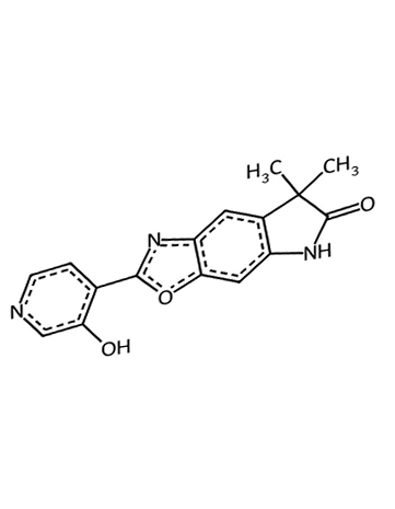 CC1(C)C(=O)Nc2cc3oc(-c4ccncc4O)nc3cc21